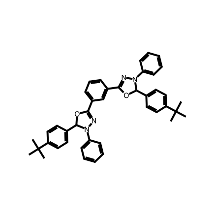 CC(C)(C)c1ccc(C2OC(c3cccc(C4=NN(c5ccccc5)C(c5ccc(C(C)(C)C)cc5)O4)c3)=NN2c2ccccc2)cc1